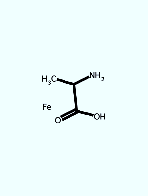 CC(N)C(=O)O.[Fe]